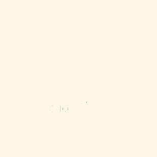 O=[C]c1ccccc1C(=O)c1ccc2ccccc2c1